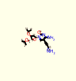 CC(C)OC[C@H]1O[C@@H](n2cc(C#CCN)c(N)nc2=O)CC1OC(C)C